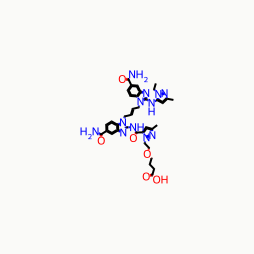 CCn1nc(C)cc1Nc1nc2cc(C(N)=O)ccc2n1C/C=C/Cn1c(NC(=O)c2cc(C)nn2CCOCCCC(=O)O)nc2cc(C(N)=O)ccc21